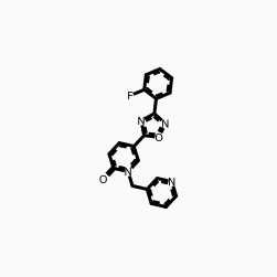 O=c1ccc(-c2nc(-c3ccccc3F)no2)cn1Cc1cccnc1